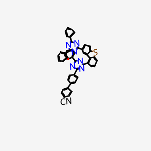 N#Cc1ccc(-c2ccc(-c3nc(-c4ccccc4)nc(-c4cccc5sc6ccc(-c7nc(-c8ccccc8)nc(-c8ccccc8)n7)cc6c45)n3)cc2)cc1